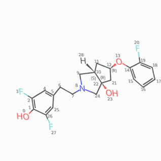 Oc1c(F)cc(CCN2C[C@@H]3C[C@@H](Oc4ccccc4F)C[C@]3(O)C2)cc1F